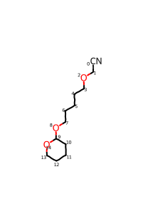 N#CCOCCCCCOC1CCCCO1